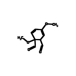 COC1=CC(C=O)C(C=O)(OC)C=C1